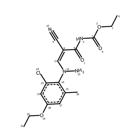 CCOC(=O)NC(=O)/C(C#N)=C\N(N)c1c(C)cc(OCC)cc1Cl